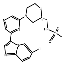 CS(=O)(=O)NC[C@@H]1CN(c2cncc(-c3cnc4ccc(Cl)cn34)n2)CCO1